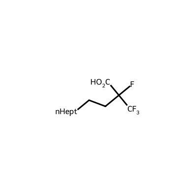 CCCCCCCCCC(F)(C(=O)O)C(F)(F)F